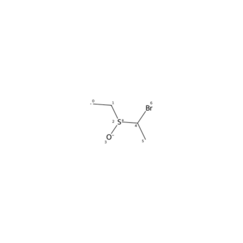 [CH2]C[S+]([O-])C(C)Br